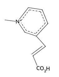 C[n+]1cccc(/C=C/C(=O)O)c1